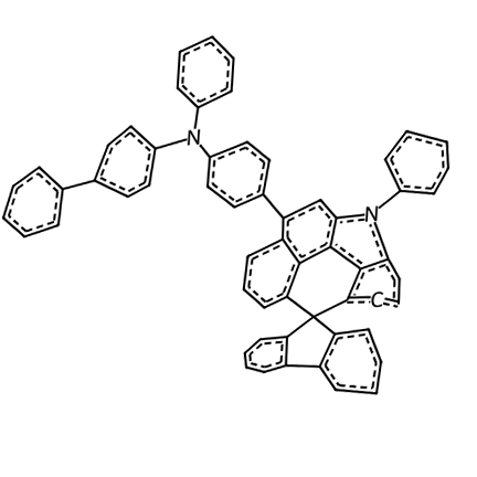 c1ccc(-c2ccc(N(c3ccccc3)c3ccc(-c4cc5c6c7c(cccc47)C4(c7ccccc7-c7ccccc74)c4cccc(c46)n5-c4ccccc4)cc3)cc2)cc1